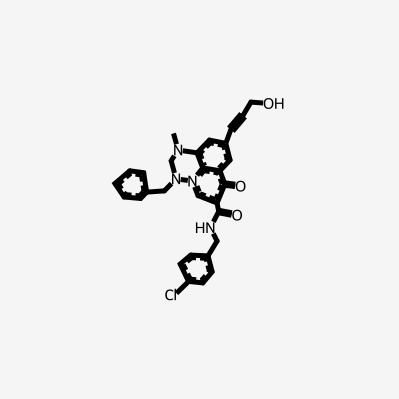 CN1CN(Cc2ccccc2)n2cc(C(=O)NCc3ccc(Cl)cc3)c(=O)c3cc(C#CCO)cc1c32